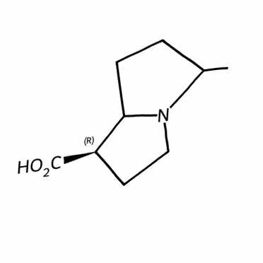 CC1CCC2[C@H](C(=O)O)CCN12